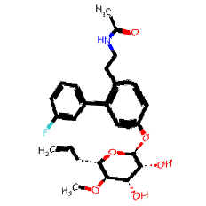 C=CC[C@@H]1O[C@@H](Oc2ccc(CCNC(C)=O)c(-c3cccc(F)c3)c2)[C@H](O)[C@H](O)[C@H]1OC